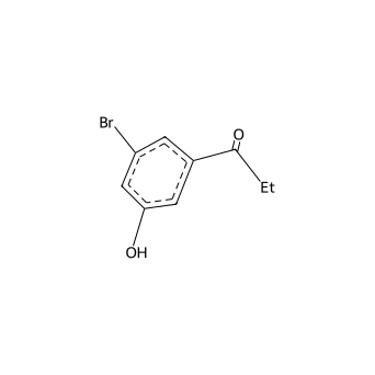 CCC(=O)c1cc(O)cc(Br)c1